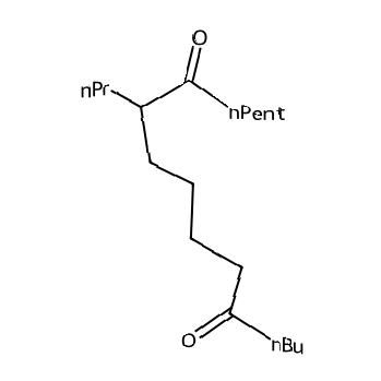 [CH2]CCC(CCCCC(=O)CCCC)C(=O)CCCCC